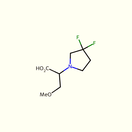 COCC(C(=O)O)N1CCC(F)(F)C1